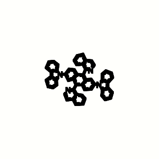 c1ccc2c(-c3c4ccc(-n5c6ccccc6c6ccccc65)cc4c(-c4nccc5ccccc45)c4ccc(-n5c6ccccc6c6ccccc65)cc34)nccc2c1